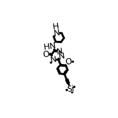 COc1cc(C#C[Si](C)(C)C)ccc1-c1nnc(N[C@@H]2CCCNC2)c(=O)n1C